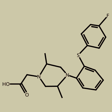 CC1CN(c2ccccc2Sc2ccc(F)cc2)C(C)CN1CC(=O)O